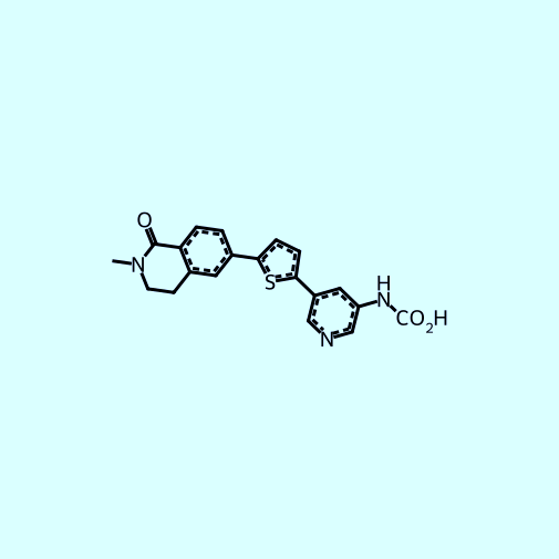 CN1CCc2cc(-c3ccc(-c4cncc(NC(=O)O)c4)s3)ccc2C1=O